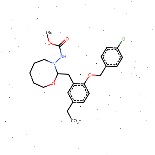 CC(C)(C)OC(=O)NN1CCCCCOC1Cc1cc(CC(=O)O)ccc1OCc1ccc(Cl)cc1